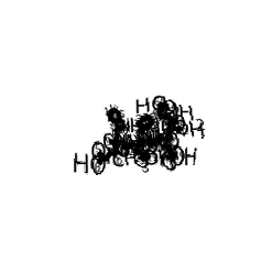 C[C@H](CCC(=O)O)NC(=O)[C@H](Cc1c[nH]c2ccccc12)NC(=O)[C@H](CCC(=O)O)NC(=O)[C@H](Cc1ccccc1)NC(=O)[C@H](CCC(=O)O)NC(=O)[C@H](CO)NC(=O)[C@@H](N)CCC(=O)O